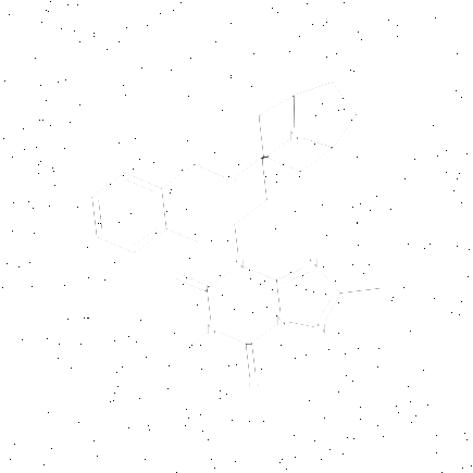 Cc1nc2n(CCCN3C4CCC3CC(OCc3ccccc3F)C4)c(=O)n(C)c(=O)n2n1